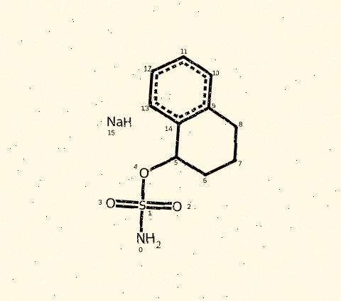 NS(=O)(=O)OC1CCCc2ccccc21.[NaH]